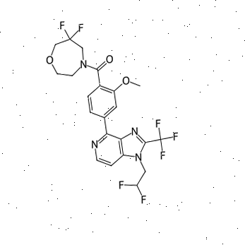 COc1cc(-c2nccc3c2nc(C(F)(F)F)n3CC(F)F)ccc1C(=O)N1CCOCC(F)(F)C1